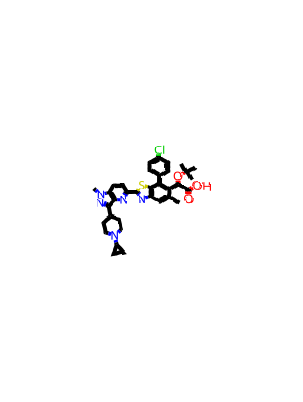 Cc1cc2nc(-c3ccc4c(n3)c(C3CCN(C5CC5)CC3)nn4C)sc2c(-c2ccc(Cl)cc2)c1C(OC(C)(C)C)C(=O)O